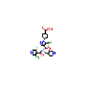 O=C(CN(Cc1ccncc1)C(=O)c1cnn(C2CCC(C(=O)O)CC2)c1C(F)(F)F)c1c(Cl)cncc1Cl